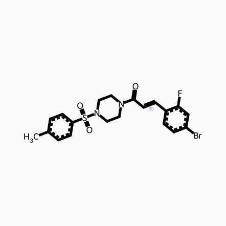 Cc1ccc(S(=O)(=O)N2CCN(C(=O)/C=C/c3ccc(Br)cc3F)CC2)cc1